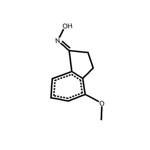 COc1cccc2c1CC/C2=N\O